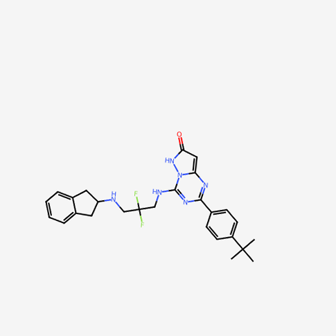 CC(C)(C)c1ccc(-c2nc(NCC(F)(F)CNC3Cc4ccccc4C3)n3[nH]c(=O)cc3n2)cc1